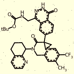 Cc1cc(CN(C(=O)C2(c3ccc4c(=O)[nH]nc(CNC(=O)OC(C)(C)C)c4c3)CC2)C2CCCc3cccnc32)ncc1C(F)(F)F